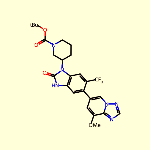 COc1cc(-c2cc3[nH]c(=O)n([C@@H]4CCCN(C(=O)OC(C)(C)C)C4)c3cc2C(F)(F)F)cn2ncnc12